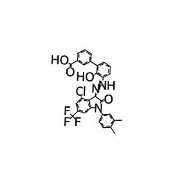 Cc1ccc(N2C(=O)/C(=N\Nc3cccc(-c4cccc(C(=O)O)c4)c3O)c3c(Cl)cc(C(F)(F)F)cc32)cc1C